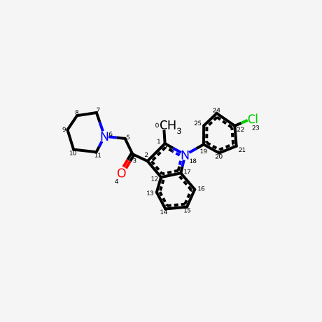 Cc1c(C(=O)CN2CCCCC2)c2ccccc2n1-c1ccc(Cl)cc1